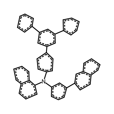 c1ccc(-c2cc(-c3ccccc3)cc(-c3ccc(N(c4cccc(-c5ccc6ccccc6c5)c4)c4cccc5ccccc45)cc3)c2)cc1